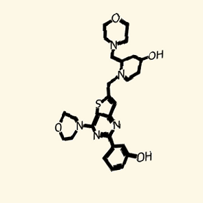 Oc1cccc(-c2nc(N3CCOCC3)c3sc(CN4CCC(O)CC4CN4CCOCC4)cc3n2)c1